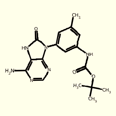 Cc1cc(NC(=O)OC(C)(C)C)cc(-n2c(=O)[nH]c3c(N)ncnc32)c1